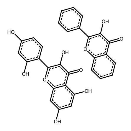 O=c1c(O)c(-c2ccc(O)cc2O)oc2cc(O)cc(O)c12.O=c1c(O)c(-c2ccccc2)oc2ccccc12